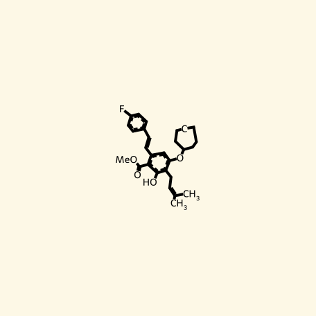 COC(=O)c1c(C=Cc2ccc(F)cc2)cc(OC2CCCCCC2)c(CC=C(C)C)c1O